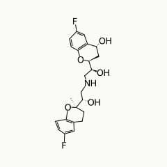 C[C@]1([C@@H](O)CNC[C@H](O)[C@@H]2C[C@@H](O)c3cc(F)ccc3O2)CCc2cc(F)ccc2O1